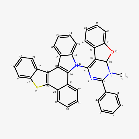 CN1C(c2ccccc2)=NC(n2c3ccccc3c3c4c5ccccc5sc4c4ccccc4c32)=C2c3ccccc3OC21